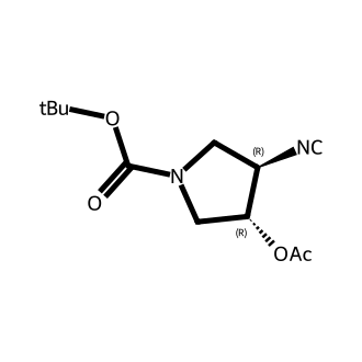 [C-]#[N+][C@@H]1CN(C(=O)OC(C)(C)C)C[C@H]1OC(C)=O